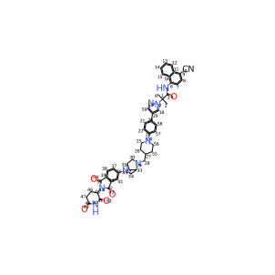 CC(C)(C(=O)Nc1ccc(C#N)c2ccccc12)n1cc(-c2ccc(N3CCC(CN4CC5CC4CN5c4ccc5c(c4)C(=O)N(C4CCC(=O)NC4=O)C5=O)CC3)cc2)cn1